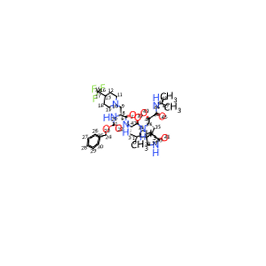 CC(C)C[C@H](NC(=O)[C@H](CN1CCC(C(F)(F)F)CC1)NC(=O)OCc1ccccc1)C(=O)N[C@@H](C[C@@H]1CCNC1=O)C(=O)C(=O)NC(C)C